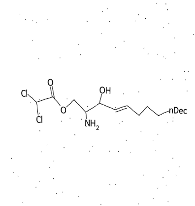 CCCCCCCCCCCCCC=CC(O)C(N)COC(=O)C(Cl)Cl